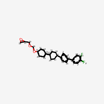 Fc1ccc(-c2ccc(C3CCC(C4CCC(OCOCC5CO5)CC4)CC3)cc2)cc1F